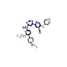 COc1nc(Nc2cc(-c3cc(C#N)c(OC4CCOCC4)cn3)ncn2)ccc1C1CCN(C)CC1